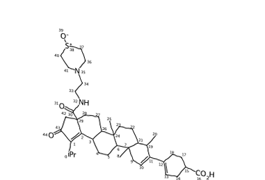 CC(C)C1=C2C3CCC4C5(C)CC=C(C6=CCC(C(=O)O)CC6)C(C)C5CCC4(C)C3CCC2(C(=O)NCCN2CC[S+]([O-])CC2)CC1=O